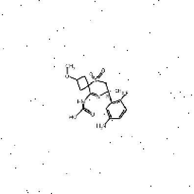 COC1CC2(C1)C(NC(=O)O)=N[C@](C)(c1cc(N)ccc1F)CS2(=O)=O